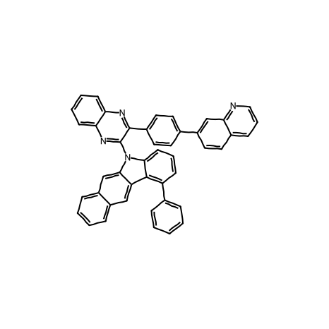 c1ccc(-c2cccc3c2c2cc4ccccc4cc2n3-c2nc3ccccc3nc2-c2ccc(-c3ccc4cccnc4c3)cc2)cc1